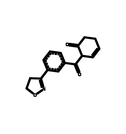 O=C1CCC=CC1C(=O)c1cccc(C2=NOCC2)c1